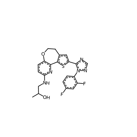 CC(O)CNc1ccc2c(n1)-c1sc(-c3ncnn3-c3ccc(F)cc3F)cc1CCO2